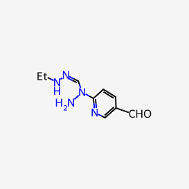 CCN/N=C\N(N)c1ccc(C=O)cn1